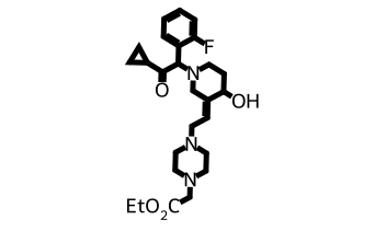 CCOC(=O)CN1CCN(C/C=C2\CN(C(C(=O)C3CC3)c3ccccc3F)CCC2O)CC1